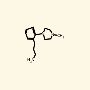 CN1CCN(c2ccccc2CCCN)CC1